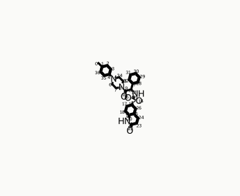 Cc1ccc(N2CCN(C(=O)C(NS(=O)(=O)c3ccc4[nH]c(=O)ccc4c3)c3ccccc3)CC2)cc1